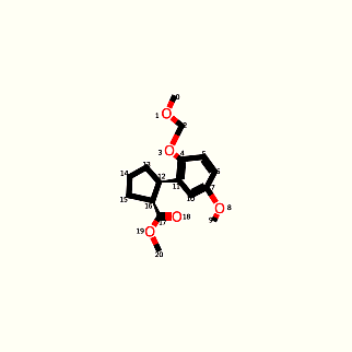 COCOc1ccc(OC)cc1[C@@H]1CCC[C@@H]1C(=O)OC